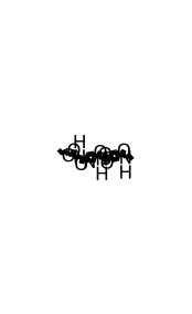 CCCOC(=O)CNC(=O)c1ccc(C(=O)NS(=O)(=O)c2ccc(C(=O)NCC)cc2)cn1